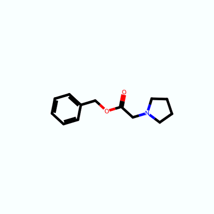 O=C(CN1CCCC1)OCc1ccccc1